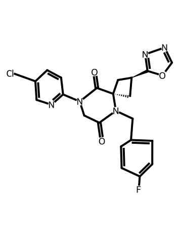 O=C1CN(c2ccc(Cl)cn2)C(=O)[C@]2(C[C@H](c3nnco3)C2)N1Cc1ccc(F)cc1